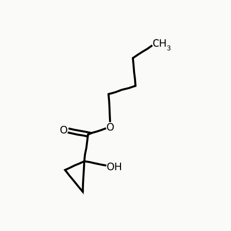 CCCCOC(=O)C1(O)CC1